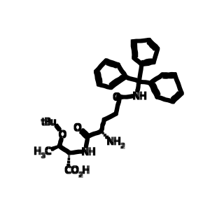 C[C@@H](OC(C)(C)C)[C@H](NC(=O)[C@@H](N)CCC(=O)NC(c1ccccc1)(c1ccccc1)c1ccccc1)C(=O)O